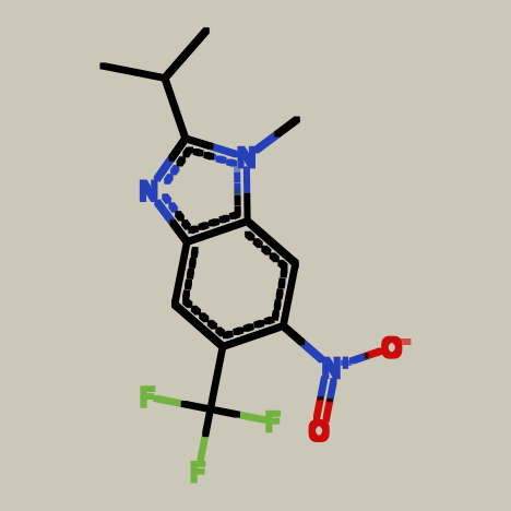 CC(C)c1nc2cc(C(F)(F)F)c([N+](=O)[O-])cc2n1C